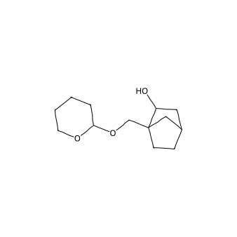 OC1CC2CCC1(COC1CCCCO1)C2